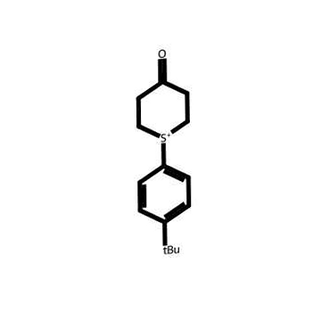 CC(C)(C)c1ccc([S+]2CCC(=O)CC2)cc1